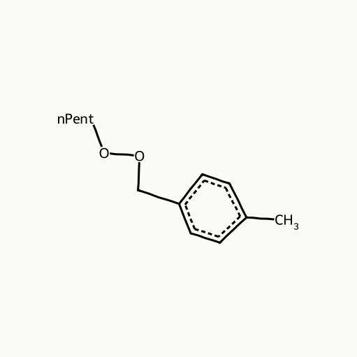 CCCCCOOCc1ccc(C)cc1